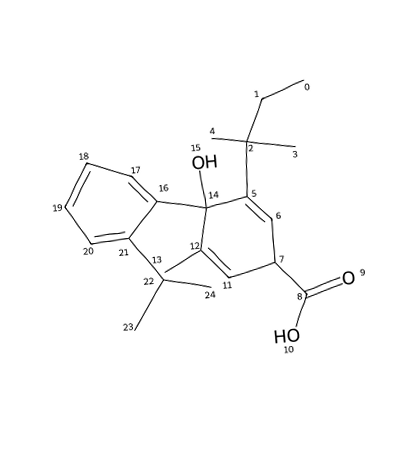 CCC(C)(C)C1=CC(C(=O)O)C=C(C)C1(O)c1ccccc1C(C)C